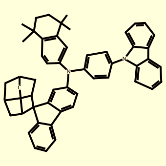 CC1(C)CCC(C)(C)c2cc(N(c3ccc(-n4c5ccccc5c5ccccc54)cc3)c3ccc4c(c3)C3(c5ccccc5-4)C4CC5CC6CC3C64C5)ccc21